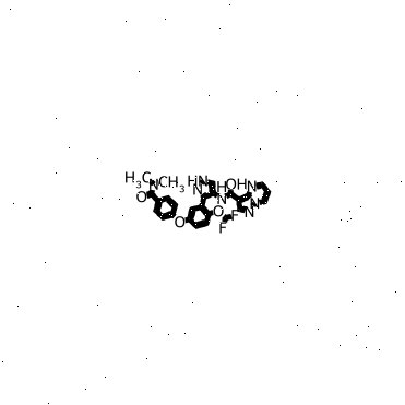 CN(C)C(=O)c1ccc(Oc2ccc(OC(F)F)c(-c3n[nH]cc3NC(O)c3cnn4cccnc34)c2)cc1